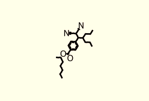 CCCCCC(C)OC(=O)c1ccc(C(C(C#N)C#N)C(CCC)CCC)cc1